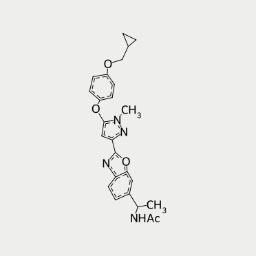 CC(=O)NC(C)c1ccc2nc(-c3cc(Oc4ccc(OCC5CC5)cc4)n(C)n3)oc2c1